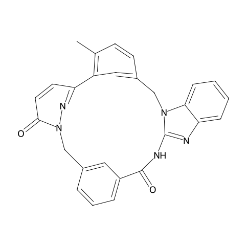 Cc1ccc2cc1-c1ccc(=O)n(n1)Cc1cccc(c1)C(=O)Nc1nc3ccccc3n1C2